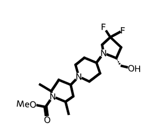 COC(=O)N1C(C)CC(N2CCC(N3CC(F)(F)C[C@@H]3CO)CC2)CC1C